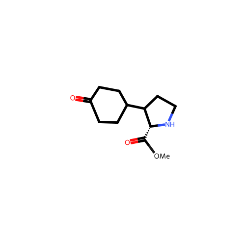 COC(=O)[C@H]1NCCC1C1CCC(=O)CC1